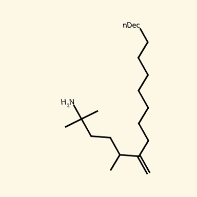 C=C(CCCCCCCCCCCCCCCCC)C(C)CCC(C)(C)N